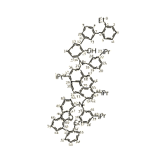 CCc1ccccc1-c1cccc(-c2cccc(N(c3cccc(C(C)C)c3)c3cc(C(C)C)c4ccc5c(N(c6cccc(C(C)C)c6)c6cccc7c6oc6c(-c8ccccc8CC)cccc67)cc(C(C)C)c6ccc3c4c65)c2O)c1